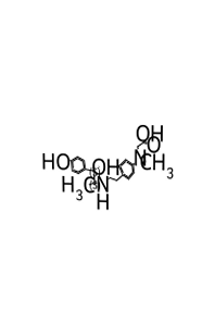 C[C@H](NCCc1ccc(N(C)CC(=O)O)cc1)[C@@H](O)c1ccc(O)cc1